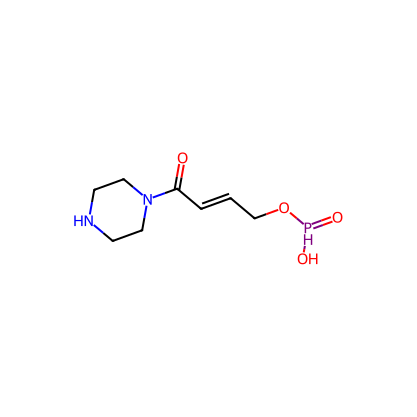 O=C(C=CCO[PH](=O)O)N1CCNCC1